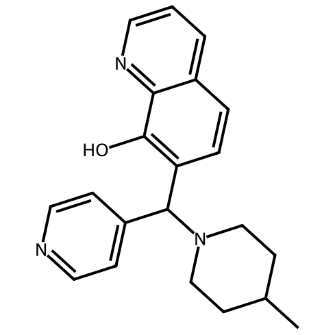 CC1CCN(C(c2ccncc2)c2ccc3cccnc3c2O)CC1